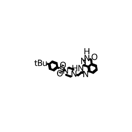 CC(C)(C)c1ccc(S(=O)(=O)N2CCN(CC3=Nc4cccc5c(=O)[nH]nc(c45)N3)CC2)cc1